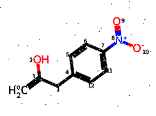 C=C(O)Cc1ccc([N+](=O)[O-])cc1